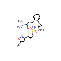 CN(C)C(=O)CCc1ccccc1C1CC1(NS(=O)(=O)C1CC=C(c2cc(C(F)(F)F)on2)S1)C(=O)O